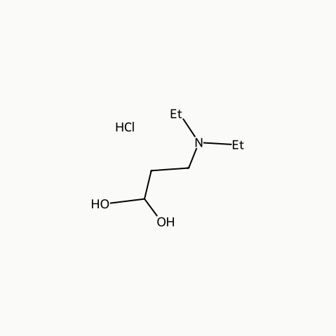 CCN(CC)CCC(O)O.Cl